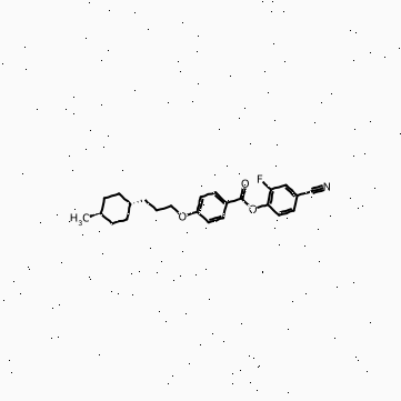 C[C@H]1CC[C@H](CCCOc2ccc(C(=O)Oc3ccc(C#N)cc3F)cc2)CC1